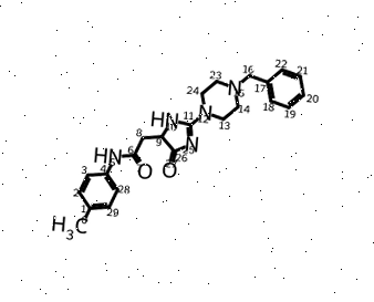 Cc1ccc(NC(=O)CC2NC(N3CCN(Cc4ccccc4)CC3)=NC2=O)cc1